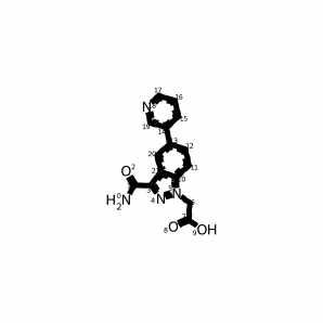 NC(=O)c1nn(CC(=O)O)c2ccc(-c3cccnc3)cc12